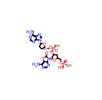 Nc1ncnc2c1ncn2[C@H]1CC[C@@H](COP(=O)(S)O[C@@H]2CC(COP(=O)(O)S)O[C@H]2n2c(=O)sc3c(N)ncnc32)O1